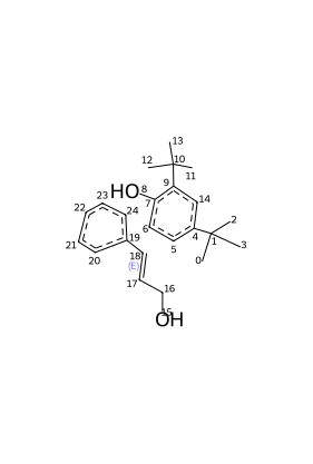 CC(C)(C)c1ccc(O)c(C(C)(C)C)c1.OC/C=C/c1ccccc1